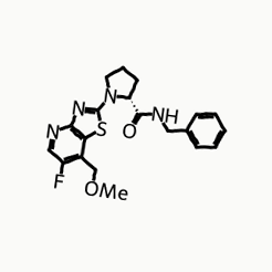 COCc1c(F)cnc2nc(N3CCC[C@@H]3C(=O)NCc3ccccc3)sc12